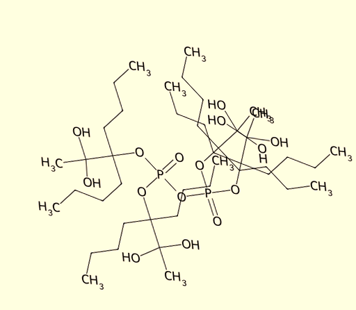 CCCCC(CCCC)(OP(=O)(OC(CCCC)(CCCC)C(C)(O)O)OP(=O)(OC(CCCC)(CCCC)C(C)(O)O)OC(CCCC)(CCCC)C(C)(O)O)C(C)(O)O